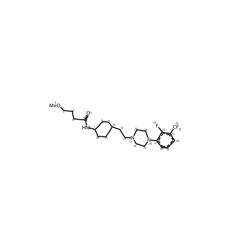 COCCCC(=O)NC1CCC(CCN2CCN(c3cccc(C(F)(F)F)c3F)CC2)CC1